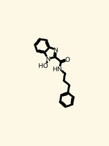 O=C(NCCCc1ccccc1)c1nc2ccccc2n1O